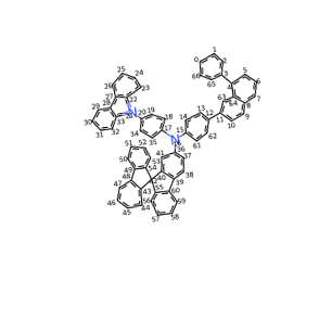 c1ccc(-c2cccc3ccc(-c4ccc(N(c5ccc(-n6c7ccccc7c7ccccc76)cc5)c5ccc6c(c5)C5(c7ccccc7-c7ccccc75)c5ccccc5-6)cc4)cc23)cc1